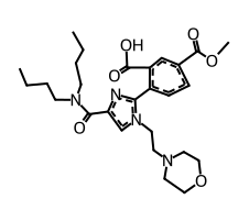 CCCCN(CCCC)C(=O)c1cn(CCN2CCOCC2)c(-c2ccc(C(=O)OC)cc2C(=O)O)n1